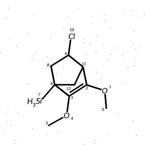 COC1=C(OC)C2([SiH3])CC(Cl)C1C2